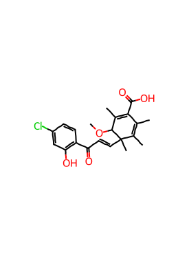 COC1C(C)=C(C(=O)O)C(C)=C(C)C1(C)C=CC(=O)c1ccc(Cl)cc1O